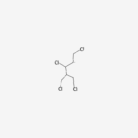 ClC[CH]C(Cl)C(CCl)CCl